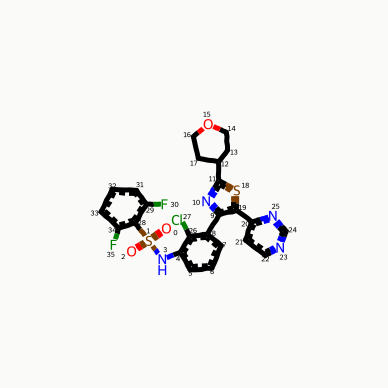 O=S(=O)(Nc1cccc(-c2nc(C3CCOCC3)sc2-c2ccncn2)c1Cl)c1c(F)cccc1F